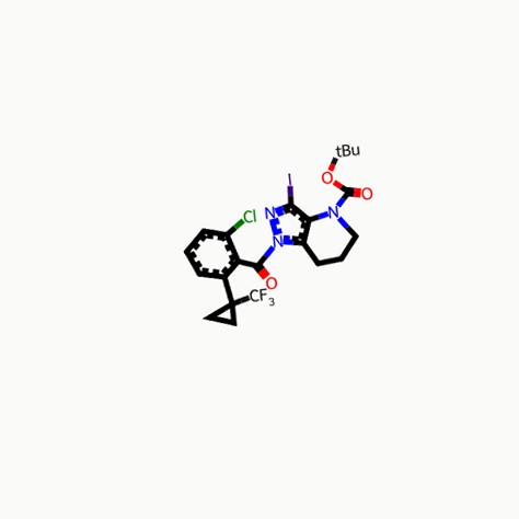 CC(C)(C)OC(=O)N1CCCc2c1c(I)nn2C(=O)c1c(Cl)cccc1C1(C(F)(F)F)CC1